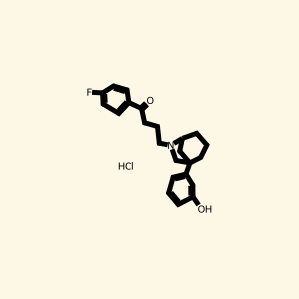 Cl.O=C(CCCN1CC2(c3cccc(O)c3)CCCC1C2)c1ccc(F)cc1